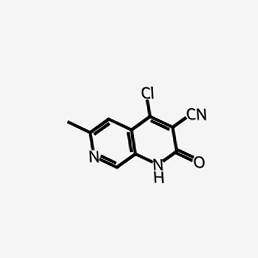 Cc1cc2c(Cl)c(C#N)c(=O)[nH]c2cn1